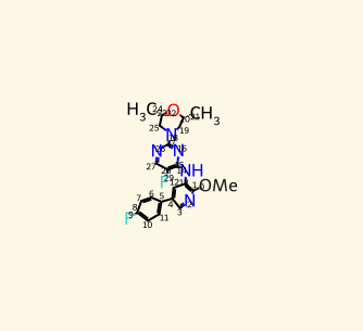 COc1ncc(-c2ccc(F)cc2)cc1Nc1nc(N2C[C@@H](C)O[C@@H](C)C2)ncc1F